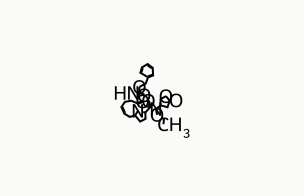 CCON(C(=O)C1CCC2CC=CCC(NC(=O)OCc3ccccc3)C(=O)N21)C1COC(=O)C1